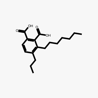 CCCCCCCc1c(CCC)ccc(C(=O)O)c1C(=O)O